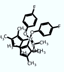 CC1=CC(C)[C]([Zr]([O]c2ccc(F)cc2)([O]c2ccc(F)cc2)([C]2=C(C)C=C(C)C2C)=[Si](C)C)=C1C